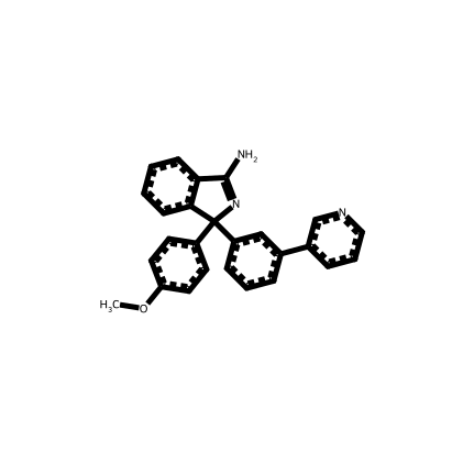 COc1ccc(C2(c3cccc(-c4cccnc4)c3)N=C(N)c3ccccc32)cc1